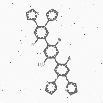 Bc1cc(-c2cc(-c3cccs3)c(-c3cccs3)cc2Br)c(Br)cc1-c1cc(-c2cccs2)c(-c2cccs2)cc1Br